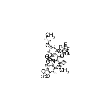 CCCOc1ccc2c(c1)S(=O)(=O)N(c1ccc3c(c1)OCO3)C(C(=O)OC)=C2OS(=O)(=O)C(F)(F)F